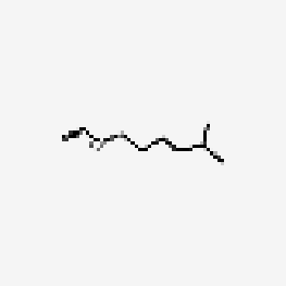 C=COCCCCC(C)C